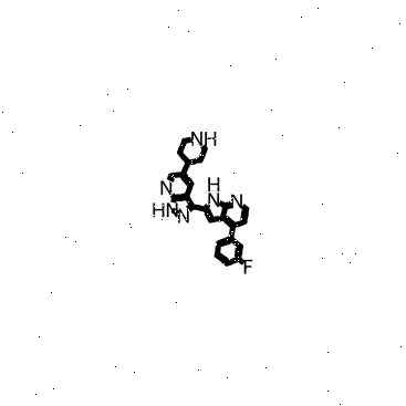 Fc1cccc(-c2ccnc3[nH]c(-c4n[nH]c5ncc(C6CCNCC6)cc45)cc23)c1